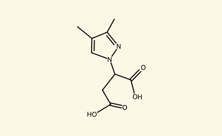 Cc1cn(C(CC(=O)O)C(=O)O)nc1C